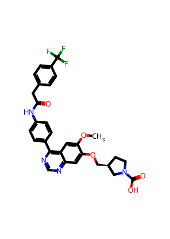 COc1cc2c(-c3ccc(NC(=O)Cc4ccc(C(F)(F)F)cc4)cc3)ncnc2cc1OC[C@H]1CCN(C(=O)O)C1